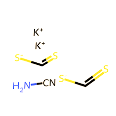 N#CN.S=C[S-].S=C[S-].[K+].[K+]